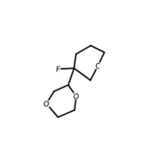 FC1(C2COCCO2)CCCCC1